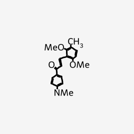 CNc1ccc(C(=O)C=Cc2c(OC)ccc(C)c2OC)cc1